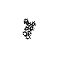 C1=CC2=c3ccccc3=c3ccc(-c4ccccc4-c4ccccc4-c4cc(-c5cccnc5)cc(-c5ccccn5)c4)cc3=C(C=C1)C2